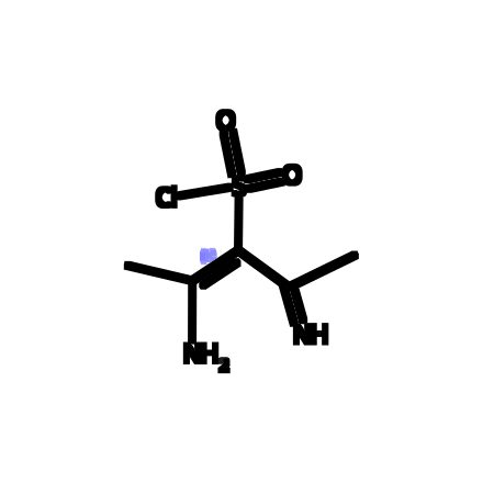 CC(=N)/C(=C(/C)N)S(=O)(=O)Cl